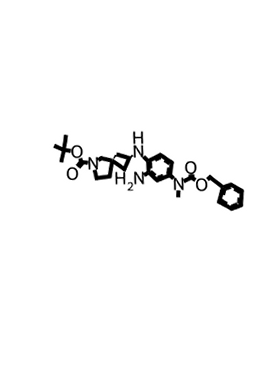 CN(C(=O)OCc1ccccc1)c1ccc(N[C@H]2C[C@@]3(CCN(C(=O)OC(C)(C)C)C3)C2)c(N)c1